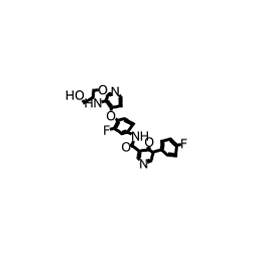 O=C(Nc1ccc(Oc2ccnc3c2NC(CO)CO3)c(F)c1)C1=CN=CC(c2ccc(F)cc2)C1=O